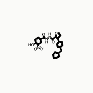 O=C(NNC(=O)c1occc1-c1ccc(Cc2ccccc2)cc1)c1ccc(O)c([N+](=O)[O-])c1